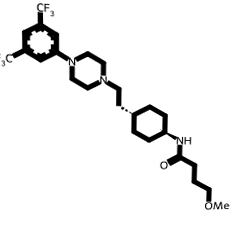 COCCCC(=O)N[C@H]1CC[C@H](CCN2CCN(c3cc(C(F)(F)F)cc(C(F)(F)F)c3)CC2)CC1